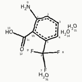 Nc1cccc(C(F)(F)F)c1C(=O)O.O.O.O